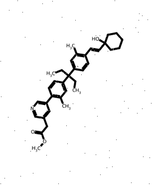 CCC(CC)(c1ccc(C=CC2(O)CCCCC2)c(C)c1)c1ccc(-c2cncc(CC(=O)OC)c2)c(C)c1